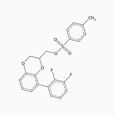 Cc1ccc(S(=O)(=O)OCC2COc3cccc(-c4cccc(F)c4F)c3O2)cc1